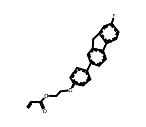 C=CC(=O)OCCOc1ccc(-c2ccc3c(c2)Cc2cc(F)ccc2-3)cc1